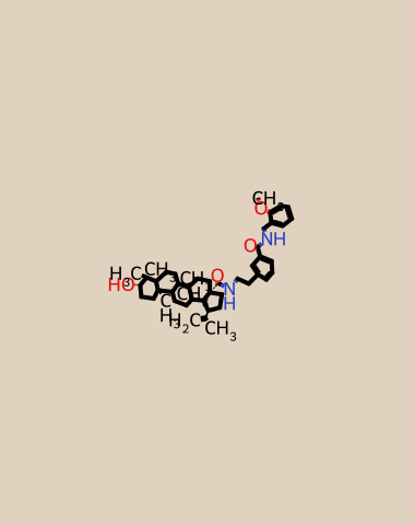 C=C(C)[C@@H]1CC[C@]2(C(=O)NCCc3cccc(C(=O)NCc4ccccc4OC)c3)CC[C@]3(C)C(CCC4[C@@]5(C)CC[C@H](O)C(C)(C)C5CC[C@]43C)C12